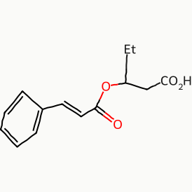 CCC(CC(=O)O)OC(=O)C=Cc1ccccc1